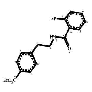 CCOC(=O)c1ccc(CCNC(=O)c2ccccc2F)cc1